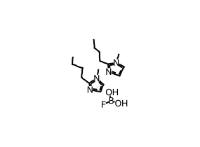 CCCCc1nccn1C.CCCCc1nccn1C.OB(O)F